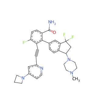 CN1CCN(C2CC(F)(F)c3cc(-c4c(C(N)=O)ccc(F)c4C#Cc4cc(N5CCC5)ccn4)ccc32)CC1